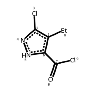 CCc1c(Cl)n[nH]c1C(=O)Cl